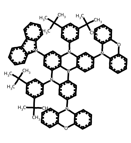 CC(C)(C)c1cc(N2c3cc(N4c5ccccc5Oc5ccccc54)ccc3B3c4ccc(N5c6ccccc6Oc6ccccc65)cc4N(c4cc(C(C)(C)C)cc(C(C)(C)C)c4)c4cc(-n5c6ccccc6c6ccccc65)cc2c43)cc(C(C)(C)C)c1